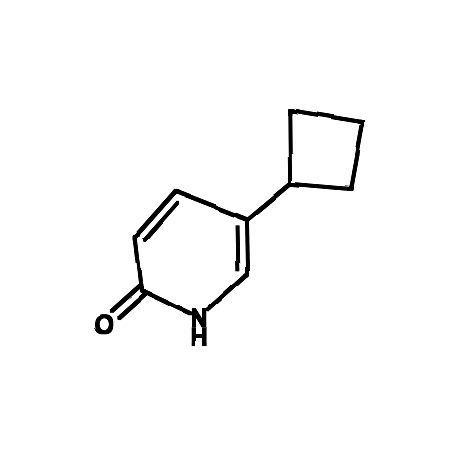 O=c1ccc(C2CCC2)c[nH]1